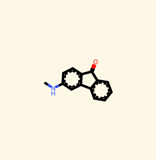 CNc1ccc2c(c1)-c1ccccc1C2=O